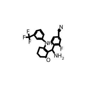 N#Cc1ccc(C(N)C2=C(Nc3cccc(C(F)(F)F)c3)CCCC2=O)c(F)c1